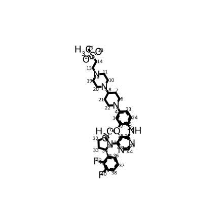 COc1cc(N2CCC(N3CCN(CCS(C)(=O)=O)CC3)CC2)ccc1Nc1cc(N2OCC[C@@H]2c2cccc(F)c2F)ncn1